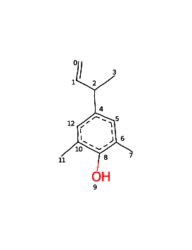 C=CC(C)c1cc(C)c(O)c(C)c1